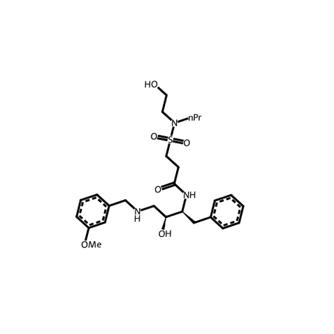 CCCN(CCO)S(=O)(=O)CCC(=O)N[C@@H](Cc1ccccc1)[C@@H](O)CNCc1cccc(OC)c1